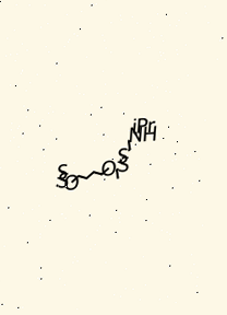 CC(C)NCCSSC(C)OCCCCOS(C)=S